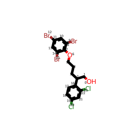 OCC(CCCOc1c(Br)cc(Br)cc1Br)c1ccc(Cl)cc1Cl